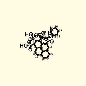 O=S(=O)(O)c1c(S(=O)(=O)O)c2ccc3cccc4cc(S(=O)(=O)O)c(c1S(=O)(=O)O)c2c34.c1ccncc1